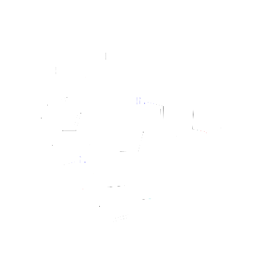 CCOc1cc2c(cc1OC)CCN(S(=O)(=O)c1cccc(F)c1)[C@H]2CCCc1c[nH]c2ccc(OC)cc12